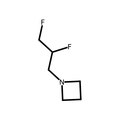 FCC(F)CN1CCC1